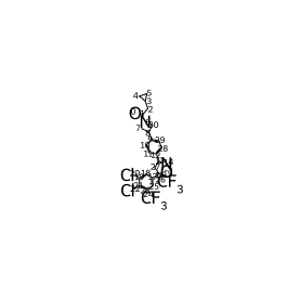 O=C(CC1CC1)N1CC(c2ccc(C3=NOC(c4cc(Cl)c(Cl)c(C(F)(F)F)c4)(C(F)(F)F)C3)cc2)C1